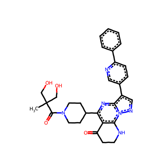 CC(CO)(CO)C(=O)N1CCC(c2nc3c(-c4ccc(-c5ccccc5)nc4)cnn3c3c2C(=O)CCN3)CC1